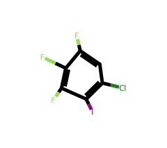 Fc1cc(Cl)c(I)c(F)c1F